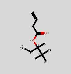 C=CCC(=O)OC(C)(CC(C)(C)C)C(C)(C)CC